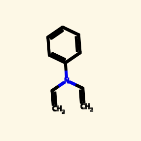 C=CN(C=C)c1ccccc1